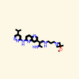 COC1(C)CN(CCCN/C=C(\C(C)=N)c2cnc3ccc(Nc4cc(C(C)C)cnn4)nc3c2)C1